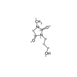 CN1CC(=O)N(CCCO)C1=O